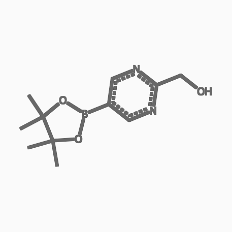 CC1(C)OB(c2cnc(CO)nc2)OC1(C)C